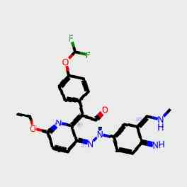 CCOC1=NC(=C(/C=O)c2ccc(OC(F)F)cc2)/C(=N\N(C)C2=C/C(=C/NC)C(=N)C=C2)C=C1